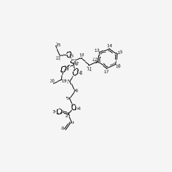 C=CC(=O)OCCCO[Si](CCc1ccccc1)(OCC)OCC